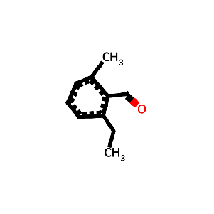 CCc1cccc(C)c1[C]=O